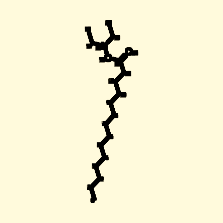 CCCCCCCCCCCCCC(=O)ON(CC)CC